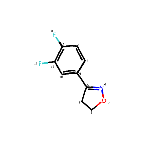 Fc1ccc(C2=NOCC2)cc1F